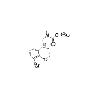 CN(C[C@@H]1CCOc2c(Br)cccc21)C(=O)OC(C)(C)C